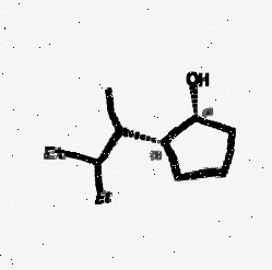 CCC(CC)C(C)[C@H]1CCC[C@H]1O